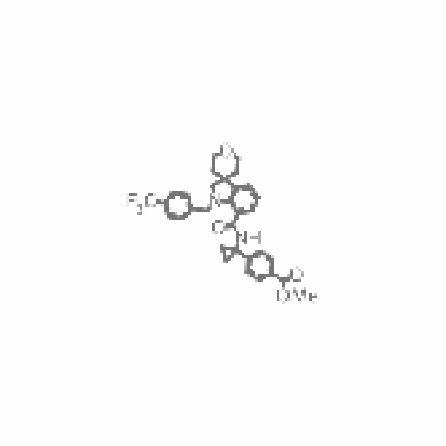 COC(=O)c1ccc(C2(NC(=O)c3cccc4c3N(Cc3ccc(C(F)(F)F)cc3)CC43CCOCC3)CC2)cc1